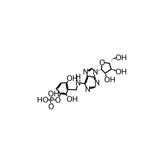 O=P(O)(O)Oc1ccc(O)c(CNc2ncnc3c2ncn3[C@@H]2O[C@H](CO)[C@@H](O)[C@H]2O)c1O